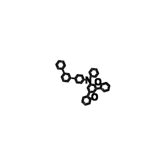 c1ccc(-c2cccc(-c3ccc(N(c4ccccc4)c4cc5c6ccccc6oc5c5c4oc4ccccc45)cc3)c2)cc1